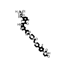 CCN(C)S(=O)(=O)Nc1ccc(F)c(C(=O)c2c[nH]c3ncc(-c4cnc(N5CCN(C(=O)CN6CCC(c7ccc(N8CCC(=O)NC8=O)cc7F)CC6)CC5)nc4)cc23)c1F